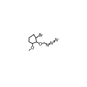 COC1CCCC(Br)C1OCN=[N+]=[N-]